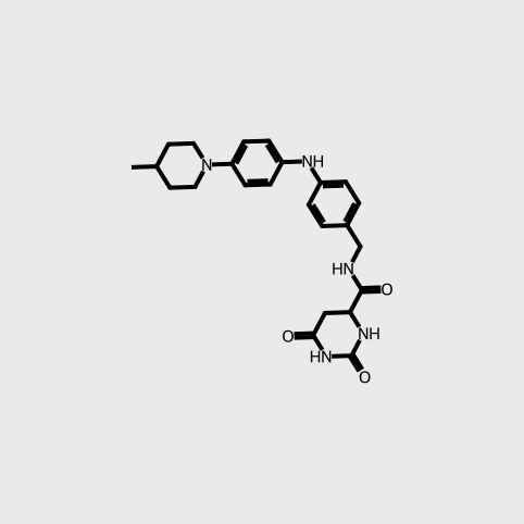 CC1CCN(c2ccc(Nc3ccc(CNC(=O)C4CC(=O)NC(=O)N4)cc3)cc2)CC1